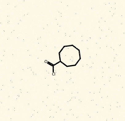 O=C(Cl)C1CCCCCCC1